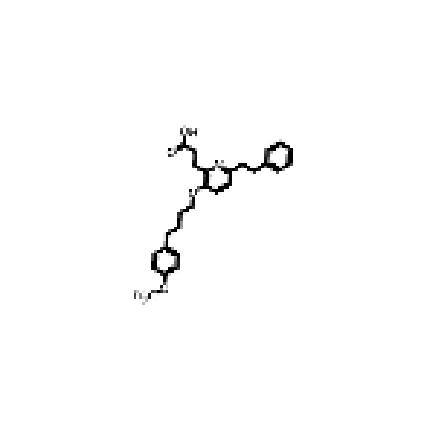 COc1ccc(CCCCOc2ccc(CCc3ccccc3)nc2CCC(=O)O)cc1